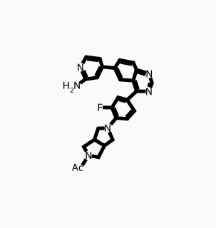 CC(=O)N1CC2CN(c3ccc(-c4ncnc5ccc(-c6ccnc(N)c6)cc45)cc3F)CC2C1